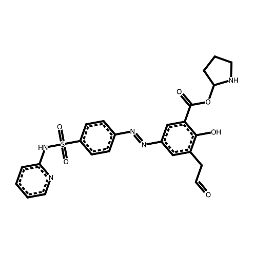 O=CCc1cc(N=Nc2ccc(S(=O)(=O)Nc3ccccn3)cc2)cc(C(=O)OC2CCCN2)c1O